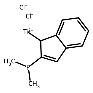 CP(C)C1=Cc2ccccc2[CH]1[Ti+2].[Cl-].[Cl-]